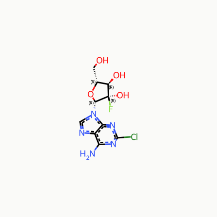 Nc1nc(Cl)nc2c1ncn2[C@@H]1O[C@H](CO)[C@@H](O)[C@@]1(O)F